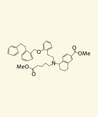 COC(=O)CCCCN(CCc1ccccc1OCc1ccccc1CCc1ccccc1)C1CCCc2cc(C(=O)OC)ccc21